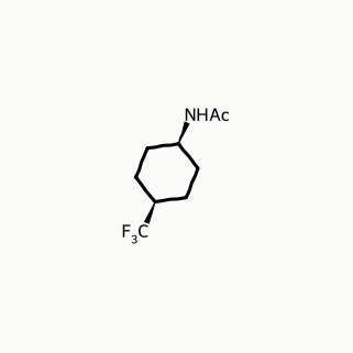 CC(=O)N[C@H]1CC[C@@H](C(F)(F)F)CC1